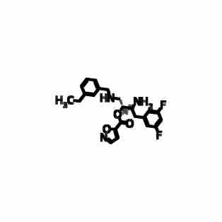 CCc1cccc(CNC[C@@H](OC(=O)c2ccno2)[C@@H](N)Cc2cc(F)cc(F)c2)c1